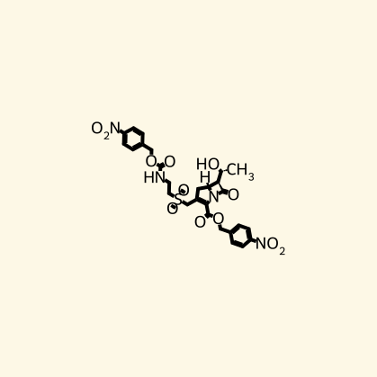 C[C@@H](O)[C@H]1C(=O)N2C(C(=O)OCc3ccc([N+](=O)[O-])cc3)=C(CS(=O)(=O)CCNC(=O)OCc3ccc([N+](=O)[O-])cc3)C[C@H]12